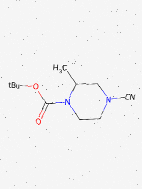 CC1CN(C#N)CCN1C(=O)OC(C)(C)C